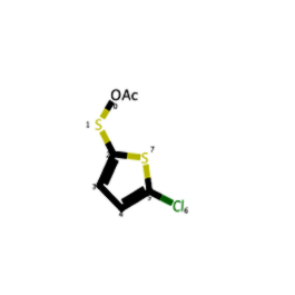 CC(=O)OSc1ccc(Cl)s1